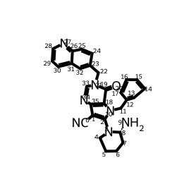 N#Cc1c(N2CCCC[C@H]2N)n(Cc2ccccc2)c2c(=O)n(Cc3ccc4ncccc4c3)cnc12